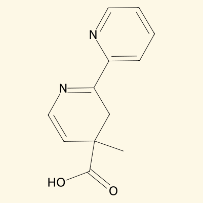 CC1(C(=O)O)C=CN=C(c2ccccn2)C1